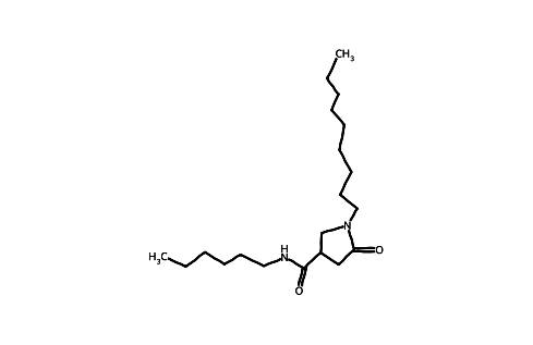 CCCCCCCCCN1CC(C(=O)NCCCCCC)CC1=O